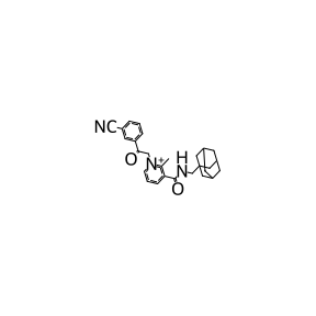 Cc1c(C(=O)NCC23CC4CC(CC(C4)C2)C3)ccc[n+]1CC(=O)c1cccc(C#N)c1